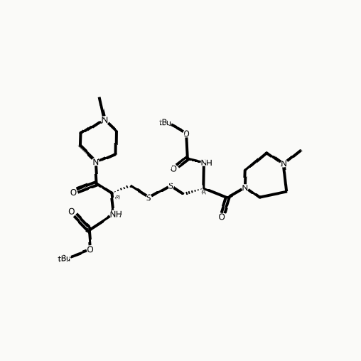 CN1CCN(C(=O)[C@H](CSSC[C@H](NC(=O)OC(C)(C)C)C(=O)N2CCN(C)CC2)NC(=O)OC(C)(C)C)CC1